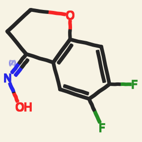 O/N=C1/CCOc2cc(F)c(F)cc21